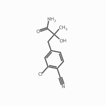 CC(O)(Cc1ccc(C#N)c(Cl)c1)C(N)=O